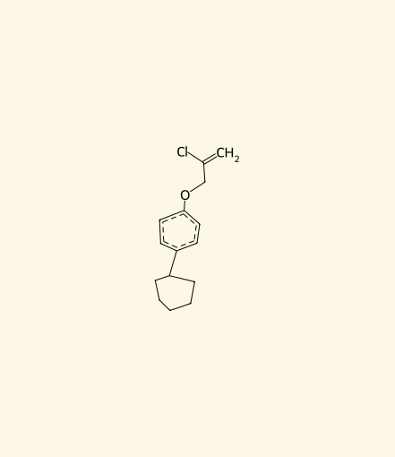 C=C(Cl)COc1ccc(C2CCCCC2)cc1